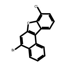 Clc1cccc2c1oc1cc(Br)c3ccccc3c12